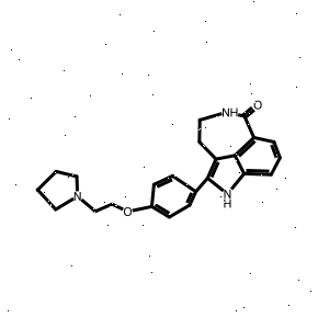 O=C1NCCc2c(-c3ccc(OCCN4CCCC4)cc3)[nH]c3cccc1c23